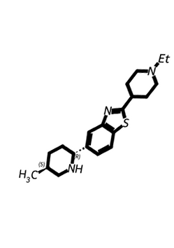 CCN1CCC(c2nc3cc([C@H]4CC[C@H](C)CN4)ccc3s2)CC1